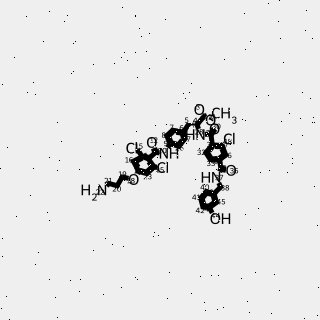 COC(=O)[C@H](Cc1ccc(NC(=O)c2c(Cl)cc(OCCCN)cc2Cl)cc1)NC(=O)c1ccc(C(=O)NCc2cccc(O)c2)cc1Cl